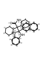 NC(=O)C(C1CCCCC1)(C1CCCCC1)C1(c2ccc3ccccc3c2)Nc2ccccc2N1